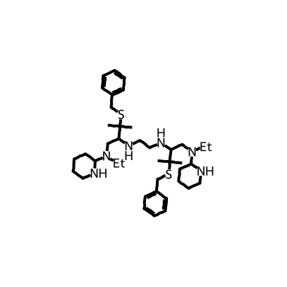 CCN(CC(NCCNC(CN(CC)C1CCCCN1)C(C)(C)SCc1ccccc1)C(C)(C)SCc1ccccc1)C1CCCCN1